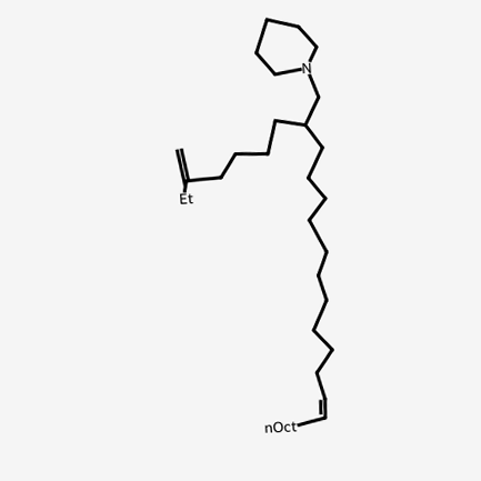 C=C(CC)CCCCC(CCCCCCCCCC/C=C\CCCCCCCC)CN1CCCCC1